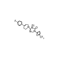 CCN1C(=O)N(c2ccc(C(F)(F)F)o2)CN=C1N1CC=C(c2ccc(F)cc2)CC1